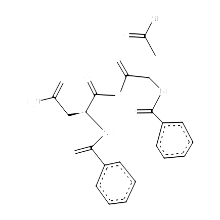 NC(=O)C[C@H](NC(=O)c1ccccc1)C(=O)OC(=O)[C@H](CC(N)=O)NC(=O)c1ccccc1